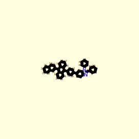 c1ccc(-c2nc3ccc(-c4ccc(-c5c6ccccc6c(-c6ccc7ccccc7c6)c6ccccc56)cc4)cc3n2-c2ccccc2)cc1